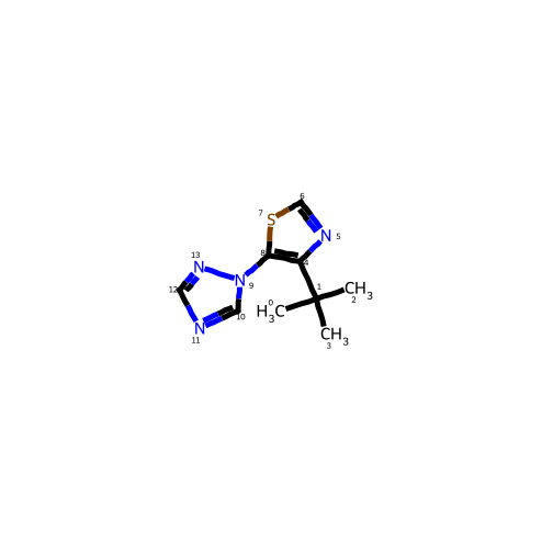 CC(C)(C)c1ncsc1-n1cncn1